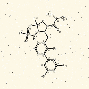 CCS(=O)(=O)N[C@@H]1[C@H](Cc2cccc(-c3cc(F)cc(F)c3)c2F)N(C(=O)N(C)C)CC1(F)F